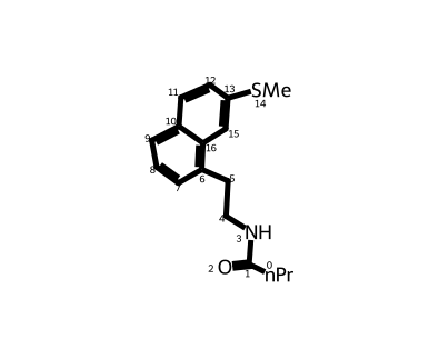 CCCC(=O)NCCc1cccc2ccc(SC)cc12